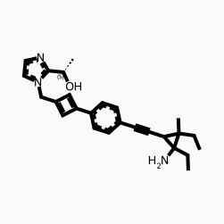 CCC1(C)C(C#Cc2ccc(C3=CC(Cn4ccnc4[C@H](C)O)=C3)cc2)C1(N)CC